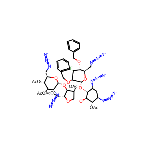 CC(=O)OC[C@H]1O[C@@H](O[C@@H]2[C@@H](OC(C)=O)[C@H](N=[N+]=[N-])C[C@H](N=[N+]=[N-])[C@H]2O[C@H]2O[C@H](CN=[N+]=[N-])[C@@H](OCc3ccccc3)[C@H](F)[C@H]2OCc2ccccc2)[C@H](OC(C)=O)[C@@H]1O[C@H]1O[C@@H](CN=[N+]=[N-])[C@@H](OC(C)=O)[C@H](OC(C)=O)[C@H]1N=[N+]=[N-]